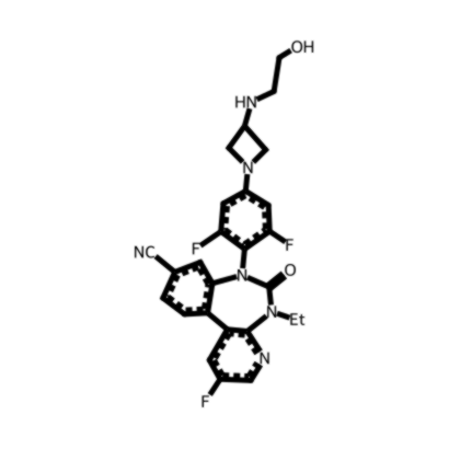 CCN1C(=O)N(c2c(F)cc(N3CC(NCCO)C3)cc2F)c2cc(C#N)ccc2-c2cc(F)cnc21